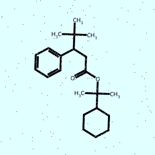 CC(C)(C)C(CC(=O)OC(C)(C)C1CCCCC1)c1ccccc1